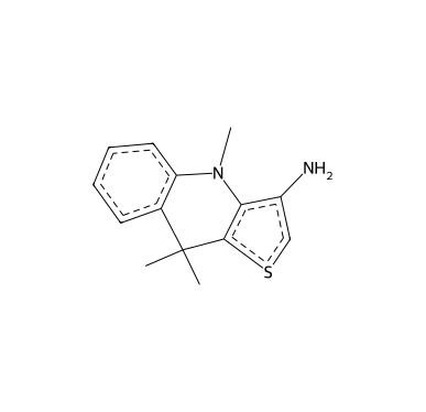 CN1c2ccccc2C(C)(C)c2scc(N)c21